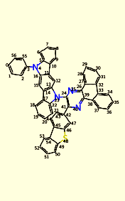 c1ccc(-n2c3ccccc3c3cc4c(cc32)c2ccccc2n4-c2nc3c4ccccc4c4ccccc4c3nc2-c2ccc3c(c2)sc2ccccc23)cc1